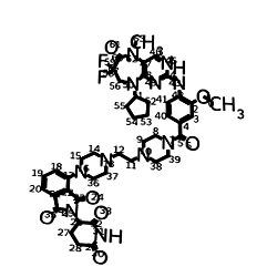 COc1cc(C(=O)N2CCN(CCN3CCN(c4cccc5c4C(=O)N(C4CCC(=O)NC4=O)C5=O)CC3)CC2)ccc1Nc1ncc2c(n1)N(C1CCCC1)CC(F)(F)C(=O)N2C